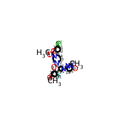 COC(=O)N1CCN(C(=O)[C@@H]2CN(c3ccc(=O)n(C)n3)C[C@H]2c2ccc(OC)cc2F)CCC[C@H]1C1C=CC(Cl)=CC1